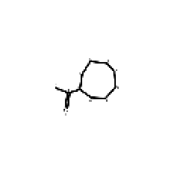 CC(=O)C1CCCCCCC1